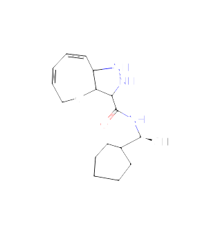 C[C@H](NC(=O)C1NNC2/C=C\C=C/CCC21)C1CCCCC1